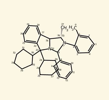 Cc1ccccc1N1C(c2ccccc2)N2C(c3ccccc3C2(C2CCCCC2)C2CCCCC2)[C@@H]1C